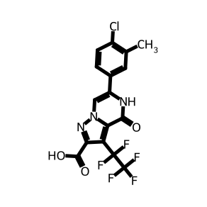 Cc1cc(-c2cn3nc(C(=O)O)c(C(F)(F)C(F)(F)F)c3c(=O)[nH]2)ccc1Cl